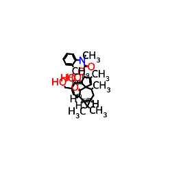 CC1=CC23C(=O)[C@@H](C=C(CO)[C@@H](O)[C@]2(O)[C@H]1OC(=O)N(C)c1ccccc1C)[C@@H]1[C@@H](CC3C)C1(C)C